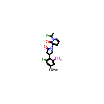 COc1cc(F)c([C@H]2CC(=O)N(c3cccn(C(C)F)c3=O)C2)c(P)c1